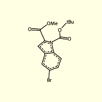 COC(=O)c1cc2cc(Br)ccc2n1C(=O)OC(C)(C)C